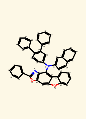 c1ccc(-c2nc3c(N(c4ccc(-c5ccccc5)c(-c5ccccc5)c4)c4ccc5ccccc5c4)c4c(cc3o2)oc2ccccc24)cc1